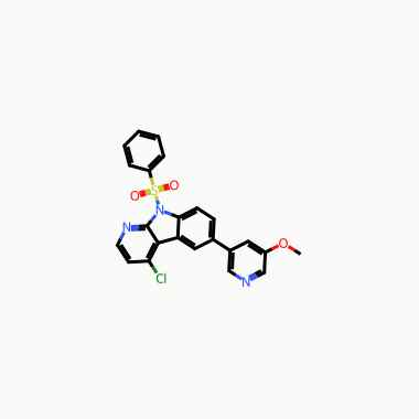 COc1cncc(-c2ccc3c(c2)c2c(Cl)ccnc2n3S(=O)(=O)c2ccccc2)c1